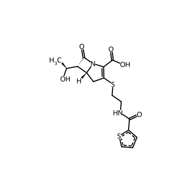 C[C@H](O)[C@@H]1C(=O)N2C(C(=O)O)=C(SCCNC(=O)c3cccs3)C[C@H]12